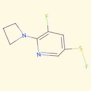 FSc1cnc(N2CCC2)c(F)c1